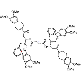 COc1cc2c(cc1OC)CCN(C(=O)CC(OC(=O)/C=C/C(=O)OC(CC(=O)N1CCc3cc(OC)c(OC)cc3CC1)N(Cc1ccccc1)C[C@H]1Cc3cc(OC)c(OC)cc31)N(Cc1ccccc1)C[C@H]1Cc3cc(OC)c(OC)cc31)CC2